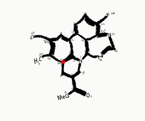 COC(=O)C1CCCN(c2ncnc3c(F)ccc(-c4ccc(C)c(Cl)c4)c23)C1